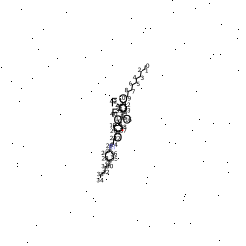 CCCCCCCCCCOc1ccc(C(=O)Oc2ccc(OC/C=C/C3CCC(CCCCC)CC3)cc2)c(F)c1F